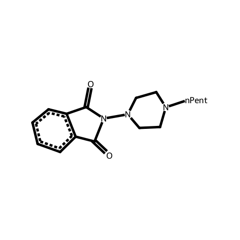 CCCCCN1CCN(N2C(=O)c3ccccc3C2=O)CC1